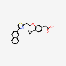 O=C(O)Cc1ccc(C2CC2)c(OCCc2nc(-c3ccc4ccccc4c3)cs2)c1